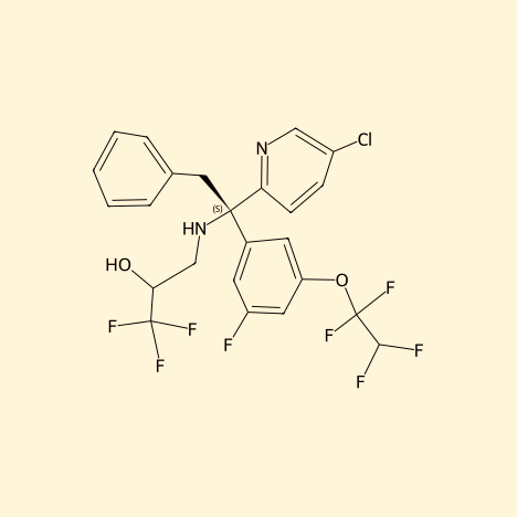 OC(CN[C@@](Cc1ccccc1)(c1cc(F)cc(OC(F)(F)C(F)F)c1)c1ccc(Cl)cn1)C(F)(F)F